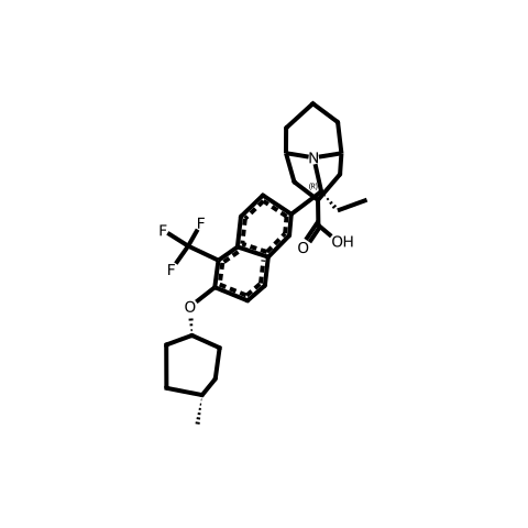 CC[C@H](c1ccc2c(C(F)(F)F)c(O[C@H]3CC[C@@H](C)CC3)ccc2c1)N1C2CCCC1CC(C(=O)O)C2